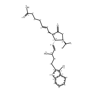 CC(C)[C@@H]1CC(=O)[C@H](CC=CCCCC(=O)O)[C@H]1C=CC(O)CCc1sc2ccccc2c1Cl